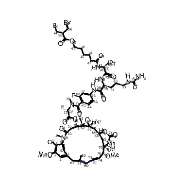 COc1cc2cc(c1Cl)N(C)C(=O)C[C@H](OC(=O)[C@H](C)N(C)C(=O)c1ccc(NC(=O)[C@H](CCCNC(N)=O)NC(=O)[C@@H](NC(=O)CCCCCOC(=O)C(CBr)CBr)C(C)C)cc1F)[C@]1(C)O[C@H]1[C@H](C)[C@@H]1C[C@@](O)(NC(=O)O1)[C@H](OC)/C=C/C=C(\C)C2